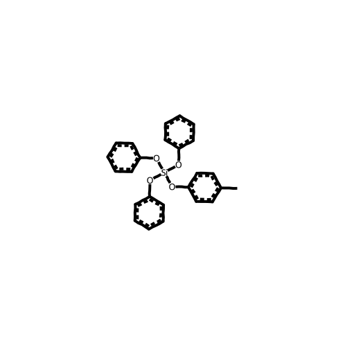 Cc1ccc(O[Si](Oc2ccccc2)(Oc2ccccc2)Oc2ccccc2)cc1